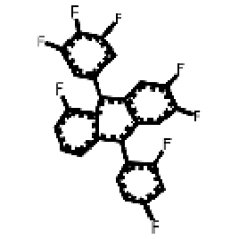 Fc1ccc(-c2c3cc(F)c(F)cc3c(-c3cc(F)c(F)c(F)c3)c3c(F)cccc23)c(F)c1